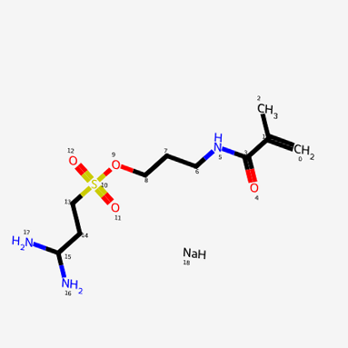 C=C(C)C(=O)NCCCOS(=O)(=O)CCC(N)N.[NaH]